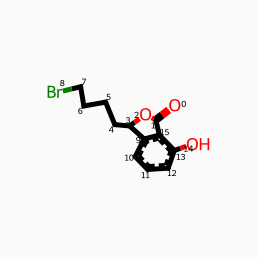 O=C1OC(CCCCBr)c2cccc(O)c21